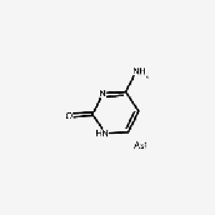 Nc1cc[nH]c(=O)n1.[As]